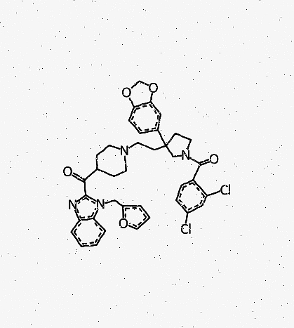 O=C(c1nc2ccccc2n1Cc1ccco1)C1CCN(CCC2(c3ccc4c(c3)OCO4)CCN(C(=O)c3ccc(Cl)cc3Cl)C2)CC1